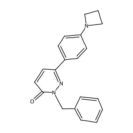 O=c1ccc(-c2ccc(N3CCC3)cc2)nn1Cc1ccccc1